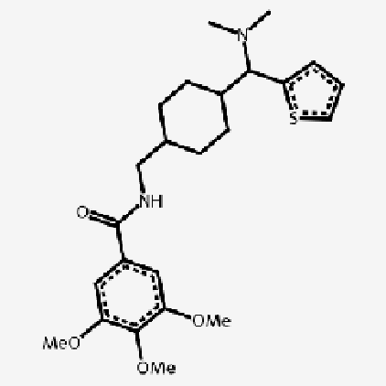 COc1cc(C(=O)NCC2CCC(C(c3cccs3)N(C)C)CC2)cc(OC)c1OC